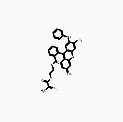 C=C(C)C(=O)OCCOC(=O)c1ccccc1C1=c2ccc(=C)cc2Oc2cc(C)c(Nc3ccccc3)cc21